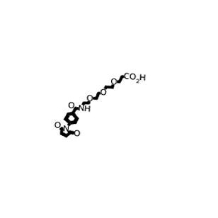 O=C(O)CCOCCOCCOCCNC(=O)c1ccc(N2C(=O)C=CC2=O)cc1